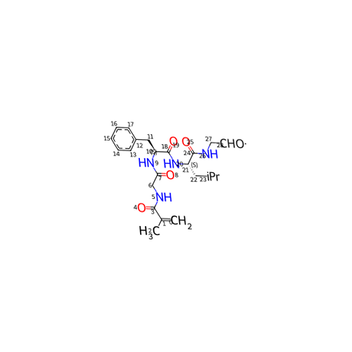 C=C(C)C(=O)NCC(=O)N[C@@H](Cc1ccccc1)C(=O)N[C@@H](CC(C)C)C(=O)NC[C]=O